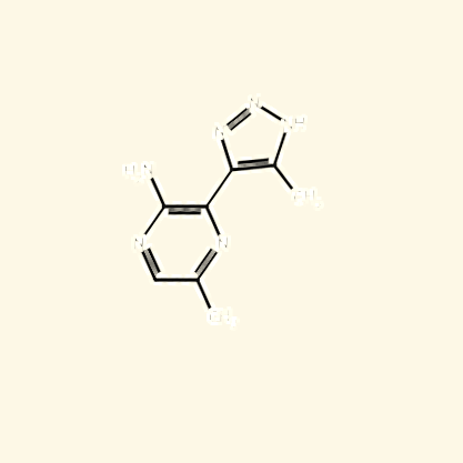 Cc1cnc(N)c(-c2nn[nH]c2C)n1